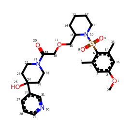 COc1cc(C)c(S(=O)(=O)N2CCCCC2COCC(=O)N2CCC(O)(c3cccnc3)CC2)c(C)c1